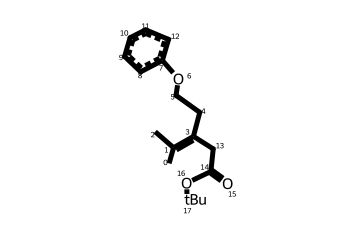 CC(C)=C(CCOc1ccccc1)CC(=O)OC(C)(C)C